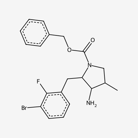 CC1CN(C(=O)OCc2ccccc2)C(Cc2cccc(Br)c2F)C1N